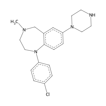 CN1CCN(c2ccc(Cl)cc2)c2ccc(N3CCNCC3)cc2C1